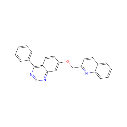 c1ccc(-c2ncnc3cc(OCc4ccc5ccccc5n4)ccc23)cc1